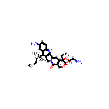 CCC[Si](C)(C)c1c2c(nc3ccc(N)cc13)-c1cc3c(c(=O)n1C2)COC(=O)C3(CC)OC(=O)CN